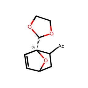 CC(=O)C1CC2C=C[C@]1(C1OCCO1)O2